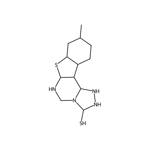 CC1CCC2C(C1)SC1NCN3C(S)NNC3C12